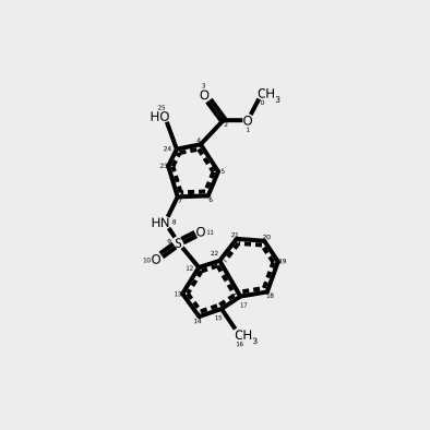 COC(=O)c1ccc(NS(=O)(=O)c2ccc(C)c3ccccc23)cc1O